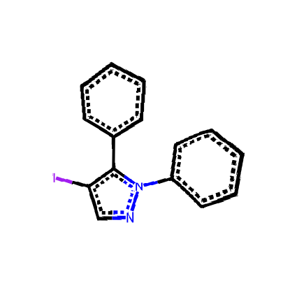 Ic1cnn(-c2ccccc2)c1-c1ccccc1